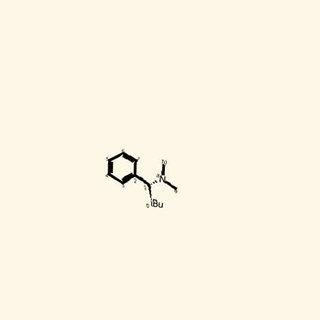 CC[C@H](C)[C@H](c1ccccc1)N(C)C